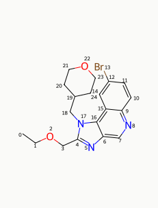 CCOCc1nc2cnc3ccc(Br)cc3c2n1CC1CCOCC1